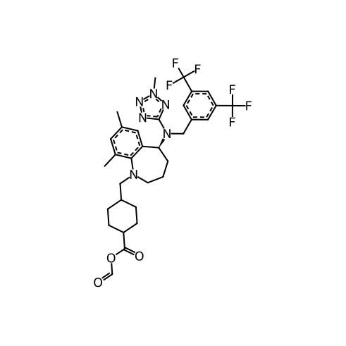 Cc1cc(C)c2c(c1)[C@@H](N(Cc1cc(C(F)(F)F)cc(C(F)(F)F)c1)c1nnn(C)n1)CCCN2CC1CCC(C(=O)OC=O)CC1